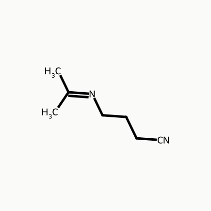 CC(C)=NCCCC#N